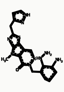 Cn1c2nc(Cc3cc[nH]n3)sc2c2cnn(Cc3cccc(N)c3NN)c(=O)c21